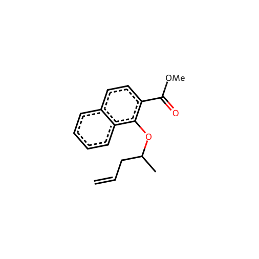 C=CCC(C)Oc1c(C(=O)OC)ccc2ccccc12